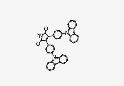 CN1C(=O)C(c2ccc(-n3c4ccccc4c4ccccc43)cc2)=C(c2ccc(-n3c4ccccc4c4ccccc43)cc2)C1=O